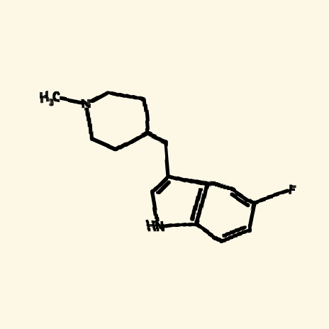 CN1CCC(Cc2c[nH]c3ccc(F)cc23)CC1